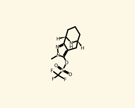 Cn1nc2c(c1OS(=O)(=O)C(F)(F)F)C[C@H]1CCC[C@@H]2N1